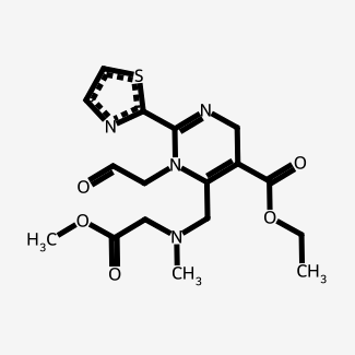 CCOC(=O)C1=C(CN(C)CC(=O)OC)N(CC=O)C(c2nccs2)=NC1